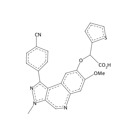 COc1cc2ncc3c(c(-c4ccc(C#N)cc4)nn3C)c2cc1OC(C(=O)O)c1cccs1